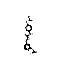 O=C(NCc1ccnc(OC(F)F)c1)NC1CCC(OC(F)F)CC1